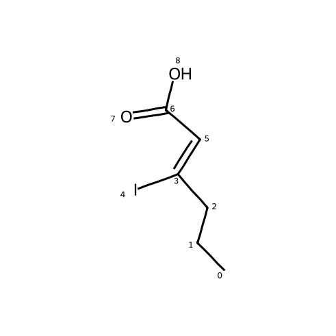 CCCC(I)=CC(=O)O